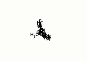 CCS(=O)(=O)c1cc(-n2cnc(C(F)(F)F)n2)cnc1-c1ccn2nc(C(F)(F)F)nc2n1